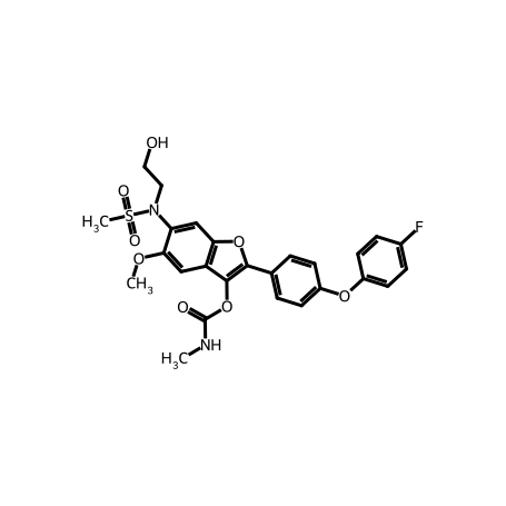 CNC(=O)Oc1c(-c2ccc(Oc3ccc(F)cc3)cc2)oc2cc(N(CCO)S(C)(=O)=O)c(OC)cc12